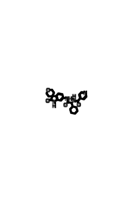 O=C(N[C@H](C(=O)Nc1ccc2c(c1)NC(=O)C21CCOCC1)C1CCCCC1)c1ccncc1